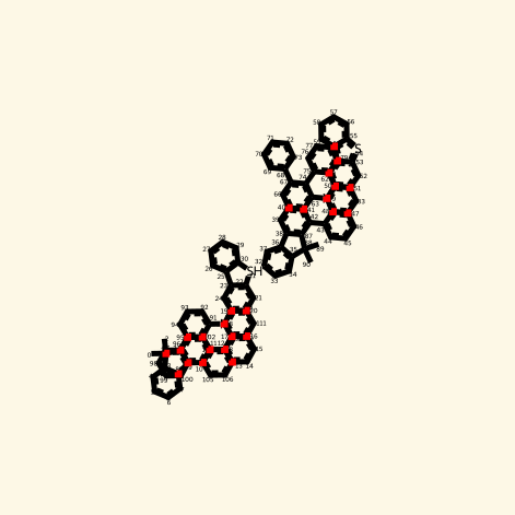 CC1(C)c2ccccc2-c2cc(-c3ccccc3N(c3ccc4c(c3)-c3ccccc3[SH]4c3ccc4c(c3)-c3cccc(-c5ccccc5N(c5ccc6sc7ccccc7c6c5)c5cccc(-c6ccccc6)c5-c5ccccc5-c5ccccc5)c3C4(C)C)c3cccc(-c4ccccc4)c3-c3ccccc3-c3ccccc3)ccc21